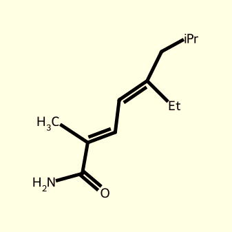 CC/C(=C\C=C(/C)C(N)=O)CC(C)C